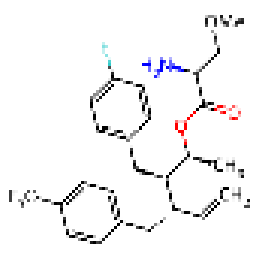 C=C[C@H](Cc1ccc(C(F)(F)F)cc1)[C@@H](Cc1ccc(F)cc1)[C@H](C)OC(=O)[C@@H](N)COC